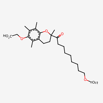 CCCCCCCCOCCCCCCCCC(=O)C1(C)CCc2c(C)c(OCC(=O)O)c(C)c(C)c2O1